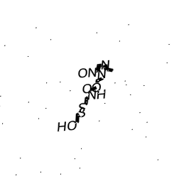 Cc1ncc(N=O)n1CCOC(=O)NCCSSCCO